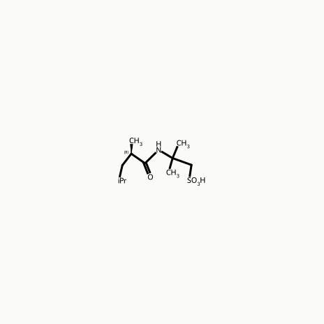 CC(C)C[C@@H](C)C(=O)NC(C)(C)CS(=O)(=O)O